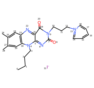 CCCCn1c2nc(=O)n(CCC[n+]3ccccc3)c(=O)c-2nc2cc(C)c(C)cc21.[I-]